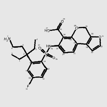 CCC(CC)(CCN)c1cc(F)ccc1S(=O)(=O)Nc1ccc2c(c1C(=O)O)OCc1occc1-2